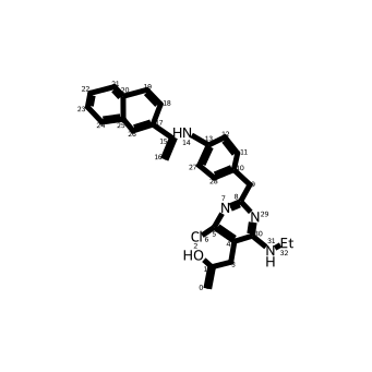 C=C(O)Cc1c(Cl)nc(Cc2ccc(NC(=C)c3ccc4ccccc4c3)cc2)nc1NCC